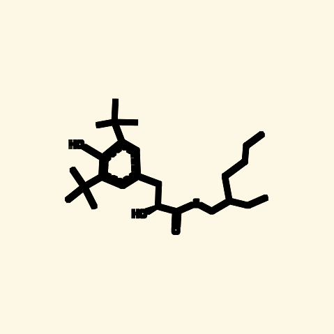 CCCCC(CC)CSC(=O)[C@@H](O)Cc1cc(C(C)(C)C)c(O)c(C(C)(C)C)c1